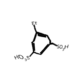 CCc1cc(S(=O)(=O)O)cc(S(=O)(=O)O)c1